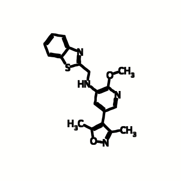 COc1ncc(-c2c(C)noc2C)cc1NCc1nc2ccccc2s1